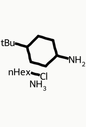 CC(C)(C)C1CCC(N)CC1.CCCCCCCl.N